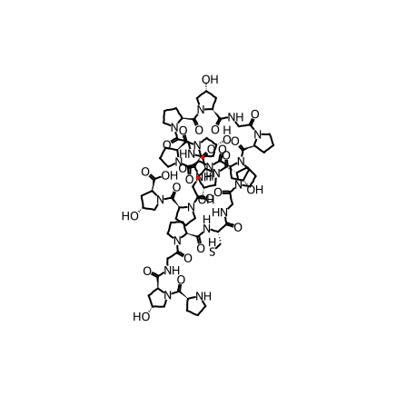 O=C(NCC(=O)N1CCC[C@H]1C(=O)N1C[C@H](O)C[C@H]1C(=O)NCC(=O)N1CCC[C@H]1C(=O)N1C[C@H](O)C[C@H]1C(=O)NCC(=O)N1CCC[C@H]1C(=O)N1C[C@H](O)C[C@H]1C(=O)NCC(=O)N1CCC[C@H]1C(=O)N1C[C@H](O)C[C@H]1C(=O)NCC(=O)N1CCC[C@H]1C(=O)N1C[C@H](O)C[C@H]1C(=O)O)[C@H](CS)NC(=O)[C@@H]1CCCN1C(=O)CNC(=O)[C@@H]1C[C@@H](O)CN1C(=O)[C@@H]1CCCN1